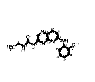 CCNC(=O)Nc1cnc2ccc(Nc3ccccc3O)nc2n1